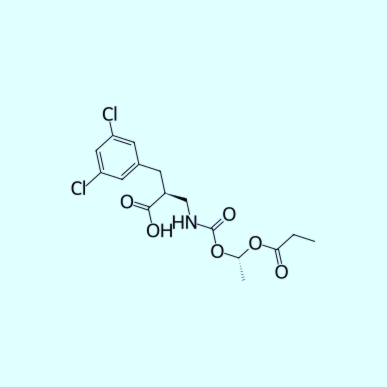 CCC(=O)O[C@H](C)OC(=O)NC[C@H](Cc1cc(Cl)cc(Cl)c1)C(=O)O